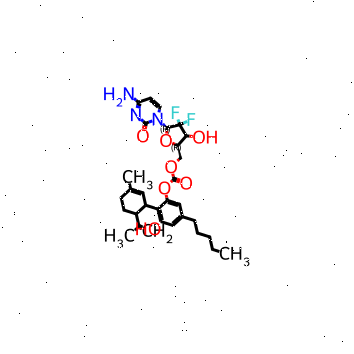 C=C(C)C1CCC(C)=CC1c1c(O)cc(CCCCC)cc1OC(=O)OC[C@H]1O[C@@H](n2ccc(N)nc2=O)C(F)(F)C1O